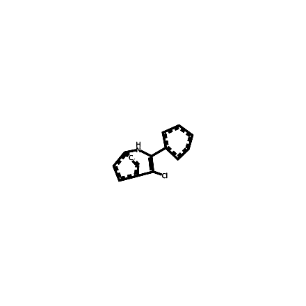 ClC1=C(c2ccccc2)Nc2ccc1cc2